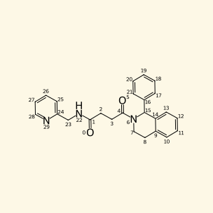 O=C(CCC(=O)N1CCc2ccccc2C1c1ccccc1)NCc1ccccn1